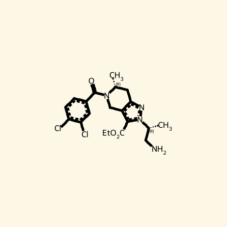 CCOC(=O)c1c2c(nn1[C@H](C)CN)C[C@@H](C)N(C(=O)c1ccc(Cl)c(Cl)c1)C2